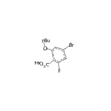 CCCCOc1cc(Br)cc(F)c1C(=O)O